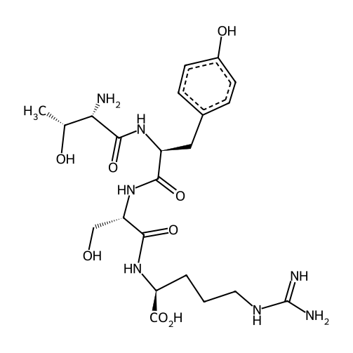 C[C@@H](O)[C@H](N)C(=O)N[C@@H](Cc1ccc(O)cc1)C(=O)N[C@@H](CO)C(=O)N[C@@H](CCCNC(=N)N)C(=O)O